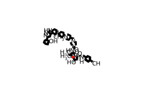 C#Cc1ccc(CNC(=O)[C@@H]2C[C@@H](O)CN2C(=O)[C@@H](NC(=O)N2CCN(CC3CCN([C@H]4CC[C@H](N5CCC6Nc7nnc(-c8ccccc8O)cc7C6[C@H]5C)CC4)CC3)CC2)C(C)(C)C)cc1